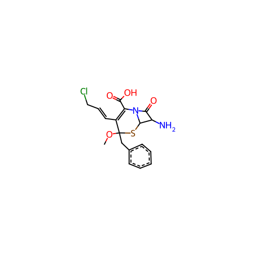 COC1(Cc2ccccc2)SC2C(N)C(=O)N2C(C(=O)O)=C1C=CCCl